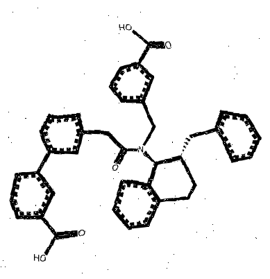 O=C(O)c1cccc(CN(C(=O)Cc2cccc(-c3cccc(C(=O)O)c3)c2)[C@@H]2c3ccccc3CC[C@H]2Cc2ccccc2)c1